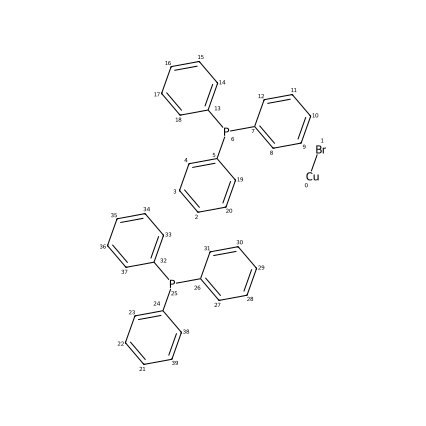 [Cu][Br].c1ccc(P(c2ccccc2)c2ccccc2)cc1.c1ccc(P(c2ccccc2)c2ccccc2)cc1